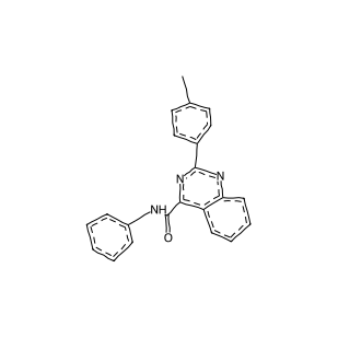 Cc1ccc(-c2nc(C(=O)Nc3ccccc3)c3ccccc3n2)cc1